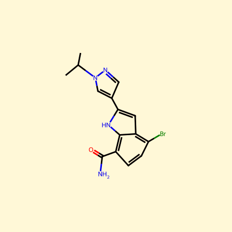 CC(C)n1cc(-c2cc3c(Br)ccc(C(N)=O)c3[nH]2)cn1